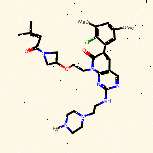 CCN1CCN(CCNc2ncc3cc(-c4cc(OC)cc(OC)c4Cl)c(=O)n(CCOC4CN(C(=O)C=C(C)C)C4)c3n2)CC1